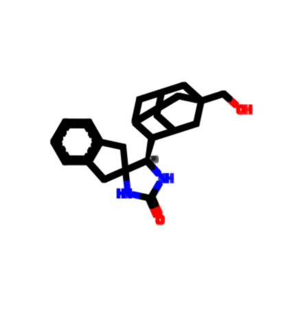 O=C1N[C@H](C2C3CC4CC2CC(CO)(C4)C3)C2(Cc3ccccc3C2)N1